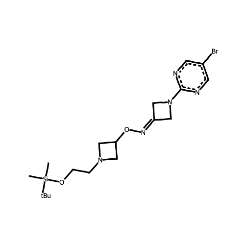 CC(C)(C)[Si](C)(C)OCCN1CC(ON=C2CN(c3ncc(Br)cn3)C2)C1